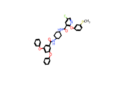 CSc1cccc(Oc2ncc(F)cc2C(=O)NC2CCC(NC(=O)c3cc(Oc4ccccc4)cc(Oc4ccccc4)c3)CC2)c1